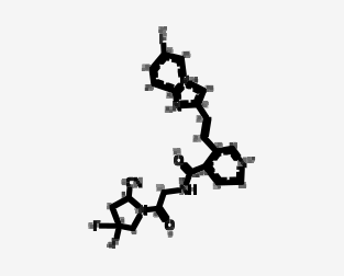 N#CC1CC(F)(F)CN1C(=O)CNC(=O)c1ccncc1/C=C/c1cn2cc(F)ccc2n1